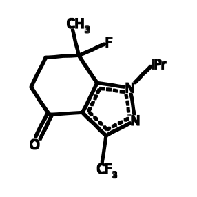 CC(C)n1nc(C(F)(F)F)c2c1C(C)(F)CCC2=O